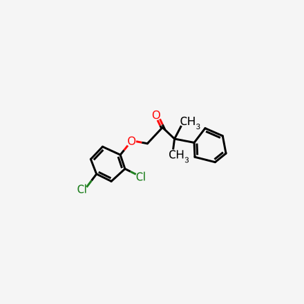 CC(C)(C(=O)COc1ccc(Cl)cc1Cl)c1ccccc1